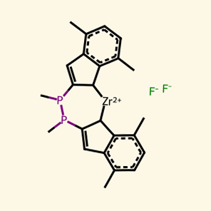 Cc1ccc(C)c2c1C=C1[CH]2[Zr+2][CH]2C(=Cc3c(C)ccc(C)c32)P(C)P1C.[F-].[F-]